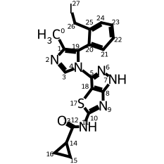 Cc1ncn(-c2n[nH]c3nc(NC(=O)C4CC4)sc23)c1-c1ccccc1CI